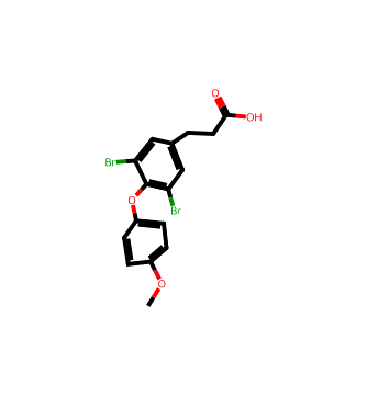 COc1ccc(Oc2c(Br)cc(CCC(=O)O)cc2Br)cc1